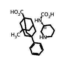 CC12CC3CC(C(=O)O)(C1)CC(c1ccccc1)(C3)C2.O=C(O)N[C@H]1CCCNC1